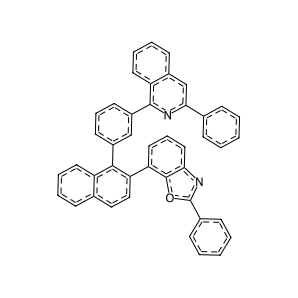 c1ccc(-c2cc3ccccc3c(-c3cccc(-c4c(-c5cccc6nc(-c7ccccc7)oc56)ccc5ccccc45)c3)n2)cc1